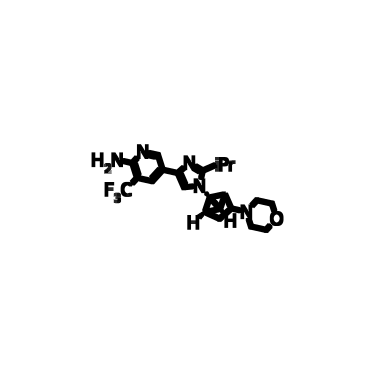 CC(C)c1nc(-c2cnc(N)c(C(F)(F)F)c2)cn1[C@@]12C3C(N4CCOCC4)C[C@H]1[C@@H]32